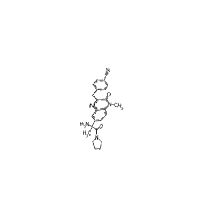 Cn1c(=O)c(Cc2ccc(C#N)cc2)nc2cc(C(C)(N)C(=O)N3CCCC3)ccc21